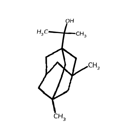 CC12CC3CC(C)(C1)CC(C(C)(C)O)(C3)C2